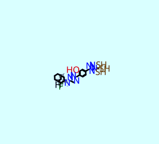 CN(c1cnc(-c2ccc(-c3nnn(C(S)(S)S)n3)cc2O)nn1)[C@H]1C[C@]2(C)CCC[C@@H](C2)[C@H]1F